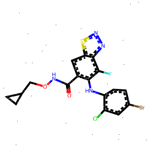 O=C(NOCC1CC1)c1cc2snnc2c(F)c1Nc1ccc(Br)cc1Cl